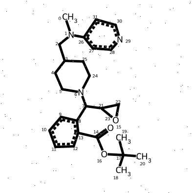 CN(CC1CCN(C(c2ccccc2C(=O)OC(C)(C)C)C2CO2)CC1)c1ccncc1